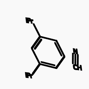 C#N.CC(C)c1cccc(C(C)C)c1